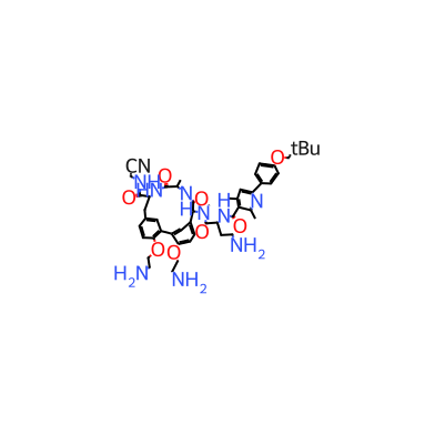 Cc1cc(-c2ccc(OCC(C)(C)C)cc2)nc(C)c1C(=O)NC(CCN)C(=O)N(C)C1C(=O)NC(C)C(=O)NC(C(=O)NCC#N)Cc2ccc(OCCN)c(c2)-c2cc1ccc2OCCN